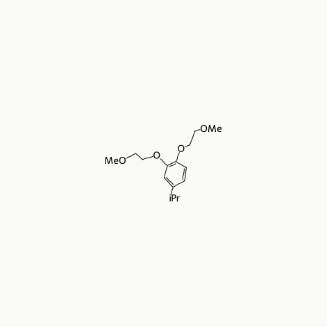 COCCOc1ccc(C(C)C)cc1OCCOC